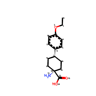 CCOc1ccc([C@H]2CC[C@](N)(C(=O)O)CC2)cc1